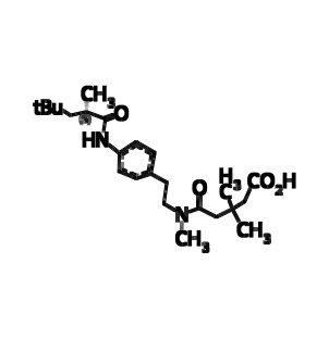 C[C@@H](CC(C)(C)C)C(=O)Nc1ccc(CCN(C)C(=O)CC(C)(C)CC(=O)O)cc1